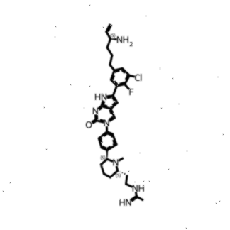 C=C[C@@H](N)CCCc1cc(Cl)c(F)c(-c2cc3cn(-c4ccc([C@@H]5CCC[C@@H](CCNC(C)=N)N5C)cc4)c(=O)nc3[nH]2)c1